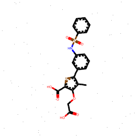 Cc1c(-c2cccc(NS(=O)(=O)c3ccccc3)c2)sc(C(=O)O)c1OCC(=O)O